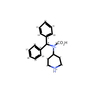 O=C(O)N(C1CCNCC1)C(c1ccccc1)c1ccccc1